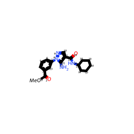 COC(=O)c1cccc(-n2ncc(C(=O)NC3CCCCC3)c2N)c1